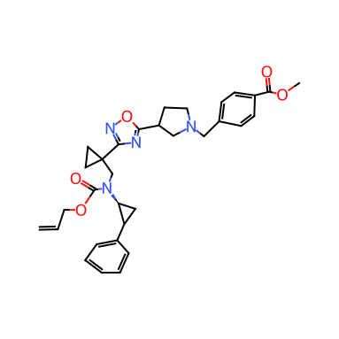 C=CCOC(=O)N(CC1(c2noc(C3CCN(Cc4ccc(C(=O)OC)cc4)C3)n2)CC1)[C@H]1CC1c1ccccc1